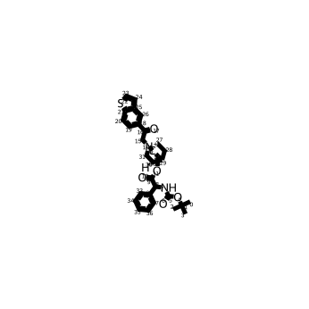 CC(C)(C)OC(=O)NC(C(=O)O[C@H]1C[N+]2(CC(=O)c3ccc4sccc4c3)CCC1CC2)c1ccccc1